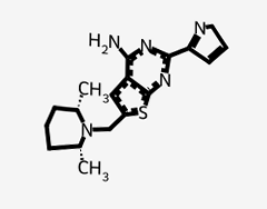 C[C@@H]1CCC[C@H](C)N1Cc1cc2c(N)nc(C3=NCC=C3)nc2s1